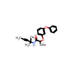 CC#CC(C)(C)NC(=O)C(Oc1cccc(Oc2ccccc2)c1)SC